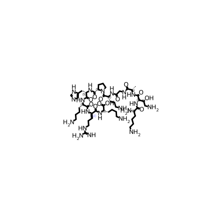 C[C@H](NC(=O)[C@@H](NC(=O)[C@@H](N)CCCCN)[C@@H](O)CN)C(=O)NCC(=O)N[C@H](CCCN)C(=O)N1CCC[C@H]1C(=O)N[C@@H](Cc1cnc[nH]1)C(=O)N[C@@H](CCCCN)C(=O)N/C(=C\CCNC(=N)N)C(=O)N[C@@H](CCCCN)C(=O)O